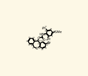 CSc1cc(C(C)C)c(NC(=O)OC2c3ccccc3COc3ccc(Br)cc32)c(C(C)C)c1